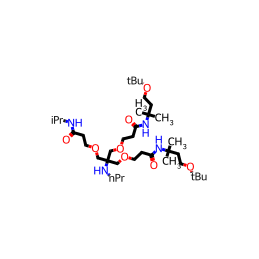 CCCNC(COCCC(=O)NC(C)C)(COCCC(=O)NC(C)(C)CCOC(C)(C)C)COCCC(=O)NC(C)(C)CCOC(C)(C)C